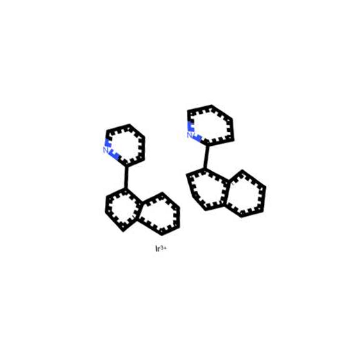 [Ir+3].c1ccc(-c2cccc3ccccc23)nc1.c1ccc(-c2cccc3ccccc23)nc1